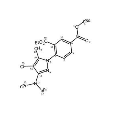 CCCCOC(=O)c1ccc(-n2nc(N(CCC)CCC)c(Cl)c2C)c(C(=O)OCC)c1